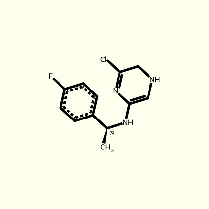 C[C@H](NC1=CNCC(Cl)=N1)c1ccc(F)cc1